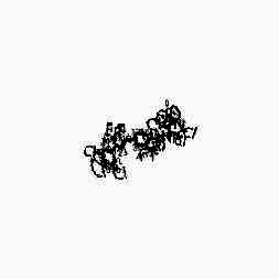 CS(=O)(=O)c1nc(Cl)c(Cl)c(NNC(=O)c2ccc(/C(F)=C/C(c3cc(Cl)c(Cl)c(Cl)c3)C(F)(F)F)cc2C(F)(F)F)c1Cl